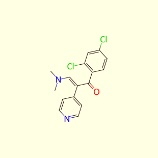 CN(C)C=C(C(=O)c1ccc(Cl)cc1Cl)c1ccncc1